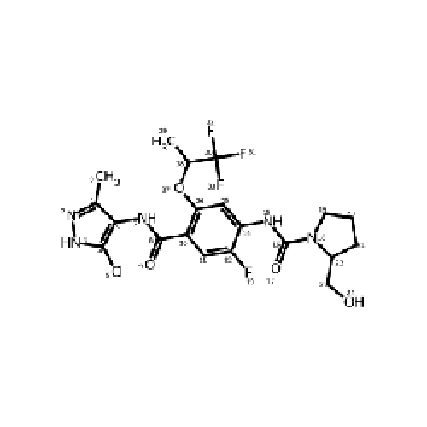 Cc1n[nH]c(Cl)c1NC(=O)c1cc(F)c(NC(=O)N2CCCC2CO)cc1OC(C)C(F)(F)F